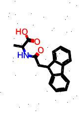 CC(NC(=O)CC1c2ccccc2-c2ccccc21)C(=O)O